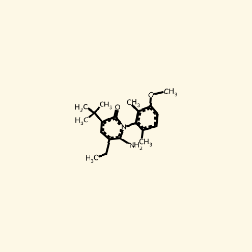 CCc1cc(C(C)(C)C)c(=O)n(-c2c(C)ccc(OC)c2C)c1N